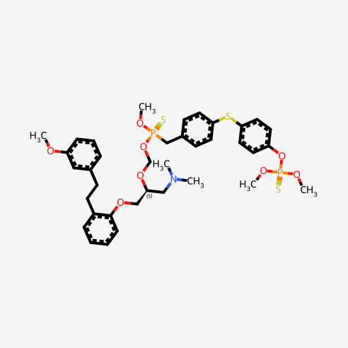 COc1cccc(CCc2ccccc2OC[C@H](CN(C)C)OCOP(=S)(Cc2ccc(Sc3ccc(OP(=S)(OC)OC)cc3)cc2)OC)c1